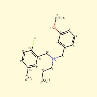 CCCCCCOc1cccc(CN(CCC(=O)O)Cc2cc(C)ccc2F)c1